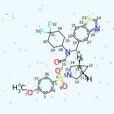 COc1ccc(S(=O)(=O)N2C[C@H]3C[C@H]3[C@H]2C(=O)N(Cc2ccc3scnc3c2)C2CCC(F)(F)CC2)cc1